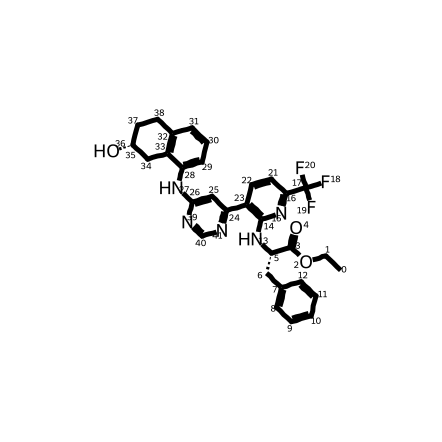 CCOC(=O)[C@H](Cc1ccccc1)Nc1nc(C(F)(F)F)ccc1-c1cc(Nc2cccc3c2C[C@H](O)CC3)ncn1